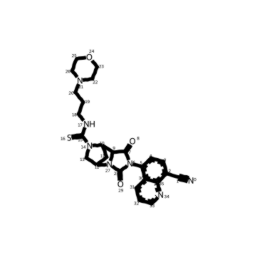 N#Cc1ccc(N2C(=O)C3C4CC(CN4C(=S)NCCCN4CCOCC4)N3C2=O)c2cccnc12